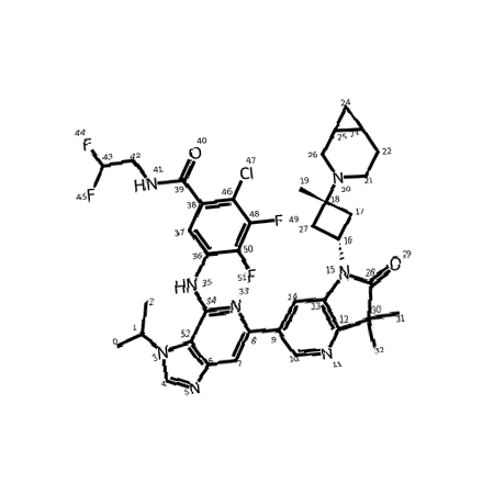 CC(C)n1cnc2cc(-c3cnc4c(c3)N([C@H]3C[C@@](C)(N5CCC6CC6C5)C3)C(=O)C4(C)C)nc(Nc3cc(C(=O)NCC(F)F)c(Cl)c(F)c3F)c21